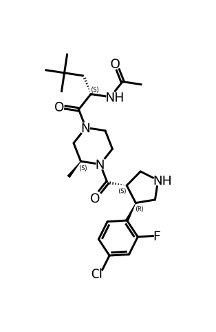 CC(=O)N[C@@H](CC(C)(C)C)C(=O)N1CCN(C(=O)[C@@H]2CNC[C@H]2c2ccc(Cl)cc2F)[C@@H](C)C1